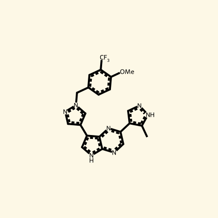 COc1ccc(Cn2cc(-c3c[nH]c4ncc(-c5cn[nH]c5C)nc34)cn2)cc1C(F)(F)F